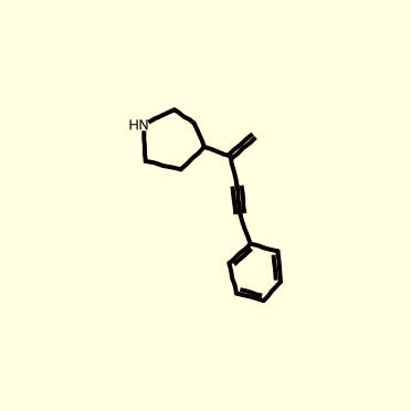 C=C(C#Cc1ccccc1)C1CCNCC1